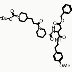 COc1ccc(CCNC(=O)C(CC(=O)OCc2ccccc2)NC(=O)[C@@H]2CCCN(C(=O)CCC3CCN(C(=O)OC(C)(C)C)CC3)C2)cc1